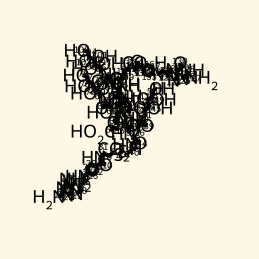 C[C@H](CSSCC[C@H](NC(=O)c1ccc(NCc2cnc3nc(N)nc(N)c3n2)cc1)C(=O)O)NC(=O)[C@H](CCC(=O)NC[C@H](O)[C@@H](O)[C@H](O)[C@H](O)CO)NC(=O)[C@H](CCC(=O)O)NC(=O)[C@H](CCC(=O)NC[C@H](O)[C@@H](O)[C@H](O)[C@H](O)CO)NC(=O)[C@H](CCC(=O)O)NC(=O)[C@H](CCC(=O)NC[C@H](O)[C@@H](O)[C@H](O)[C@H](O)CO)NC(=O)CC[C@H](NC(=O)c1ccc(NCc2cnc3nc(N)[nH]c(=O)c3n2)cc1)C(=O)O